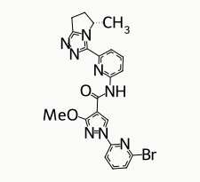 COc1nn(-c2cccc(Br)n2)cc1C(=O)Nc1cccc(-c2nnc3n2[C@@H](C)CC3)n1